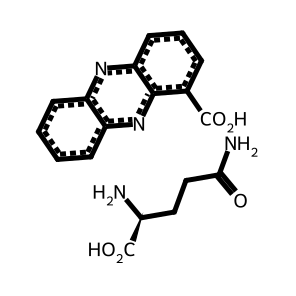 NC(=O)CC[C@H](N)C(=O)O.O=C(O)c1cccc2nc3ccccc3nc12